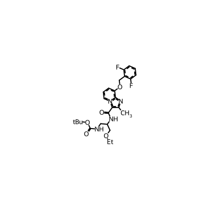 CCOCC(CNC(=O)OC(C)(C)C)NC(=O)c1c(C)nc2c(OCc3c(F)cccc3F)cccn12